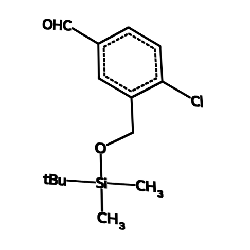 CC(C)(C)[Si](C)(C)OCc1cc(C=O)ccc1Cl